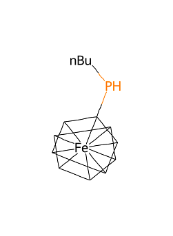 CCCCP[C]12[CH]3[CH]4[CH]5[CH]1[Fe]45321678[CH]2[CH]1[CH]6[CH]7[CH]28